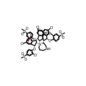 CS(=O)(=O)c1ccc(O[C@@H]2c3cc(Cl)cc(Cl)c3C[C@H]2C2CNCCC[N+]2([C@H]2Cc3c(Cl)cc(Cl)cc3[C@H]2Oc2ccc(S(C)(=O)=O)cc2Cl)[C@H]2Cc3c(Cl)cc(Cl)cc3[C@H]2Oc2ccc(S(C)(=O)=O)cc2Cl)c(Cl)c1